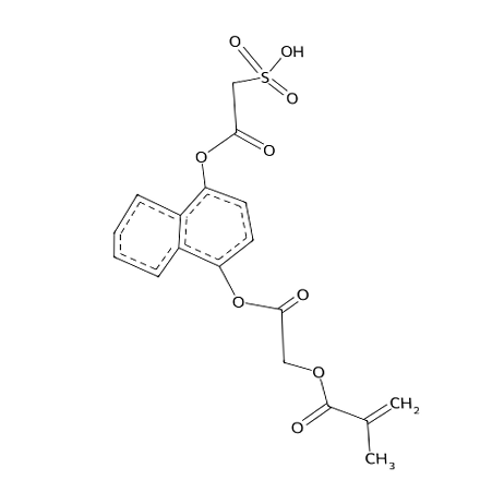 C=C(C)C(=O)OCC(=O)Oc1ccc(OC(=O)CS(=O)(=O)O)c2ccccc12